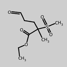 CCOC(=O)C(C)(CCC=O)S(C)(=O)=O